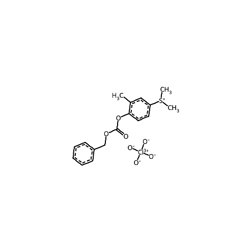 Cc1cc([S+](C)C)ccc1OC(=O)OCc1ccccc1.[O-][Cl+3]([O-])([O-])[O-]